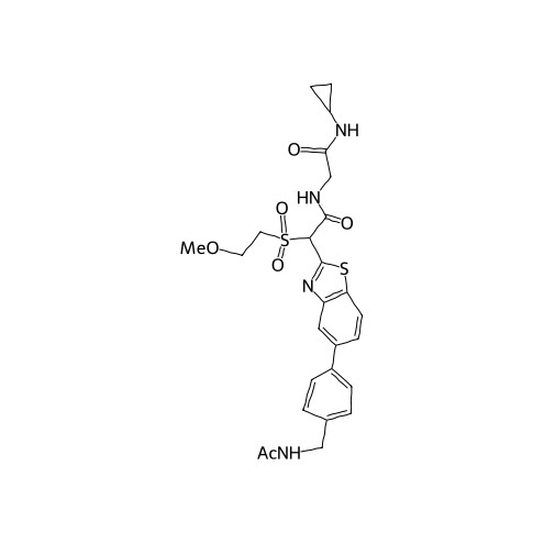 COCCS(=O)(=O)C(C(=O)NCC(=O)NC1CC1)c1nc2cc(-c3ccc(CNC(C)=O)cc3)ccc2s1